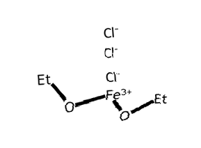 CC[O][Fe+3][O]CC.[Cl-].[Cl-].[Cl-]